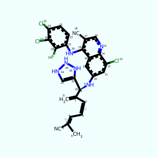 C=C(/C=C\C=C(/C)C#N)[C@H](Nc1cc(Cl)c2ncc(C#N)c(Nc3ccc(Cl)c(Cl)c3F)c2c1)C1=CNNN1